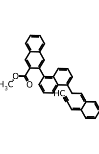 C#C/C=c1/cccc/c1=C/Cc1cccc2c(-c3cc4ccccc4cc3C(=O)OC)cccc12